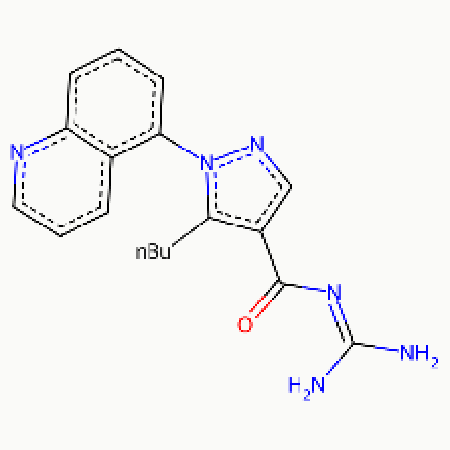 CCCCc1c(C(=O)N=C(N)N)cnn1-c1cccc2ncccc12